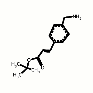 CC(C)(C)OC(=O)/C=C/c1ccc(CN)cc1